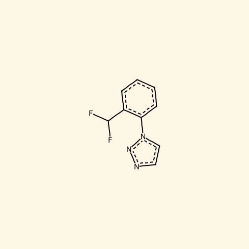 FC(F)c1ccccc1-n1ccnn1